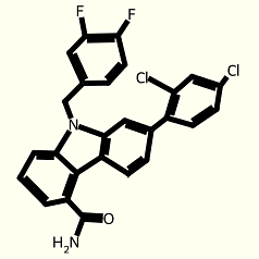 NC(=O)c1cccc2c1c1[c]cc(-c3ccc(Cl)cc3Cl)cc1n2Cc1ccc(F)c(F)c1